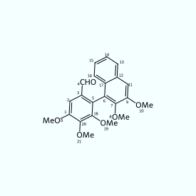 COc1cc(C=O)c(-c2c(OC)c(OC)cc3ccccc23)c(OC)c1OC